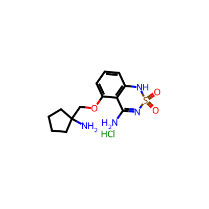 Cl.NC1=NS(=O)(=O)Nc2cccc(OCC3(N)CCCC3)c21